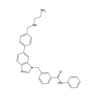 NCCNCc1ccc(-c2ccc3ncn(Cc4cccc(C(=O)Nc5ccccc5)c4)c3c2)cc1